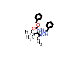 C=C(NNCc1ccccc1)[C@@H](NC(=O)OCc1ccccc1)C(C)C